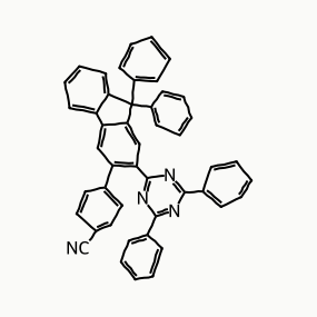 N#Cc1ccc(-c2cc3c(cc2-c2nc(-c4ccccc4)nc(-c4ccccc4)n2)C(c2ccccc2)(c2ccccc2)c2ccccc2-3)cc1